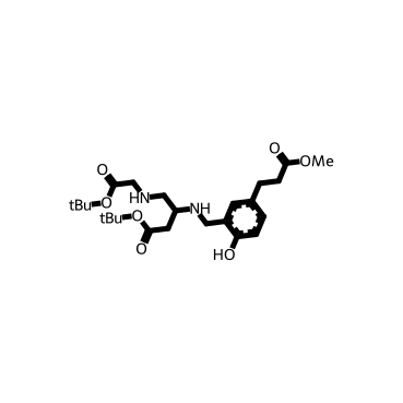 COC(=O)CCc1ccc(O)c(CNC(CNCC(=O)OC(C)(C)C)CC(=O)OC(C)(C)C)c1